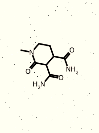 CN1CC[C](C(N)=O)C(C(N)=O)C1=O